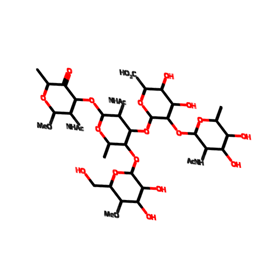 COC1OC(C)C(=O)C(OC2OC(C)C(OC3OC(CO)C(OC)C(O)C3O)C(OC3OC(C(=O)O)C(O)C(O)C3OC3OC(C)C(O)C(O)C3NC(C)=O)C2NC(C)=O)C1NC(C)=O